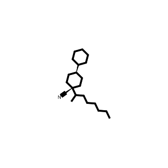 CCCCCCC(C)[C@]1(C#N)CC[C@@H](C2CCCCC2)CC1